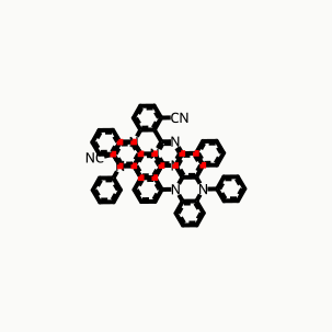 N#Cc1cccc(-c2cccc(N3c4ccccc4N(c4ccccc4)c4ccccc43)c2-c2nc(-c3ccccc3)nc(-c3c(C#N)cccc3N3c4ccccc4N(c4ccccc4)c4ccccc43)n2)c1